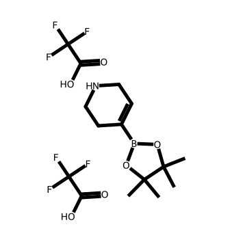 CC1(C)OB(C2=CCNCC2)OC1(C)C.O=C(O)C(F)(F)F.O=C(O)C(F)(F)F